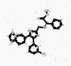 COC(=O)[C@H](NCc1nc(-c2cccc(C)n2)c(-c2ccc3ncnn3c2)[nH]1)c1ccccc1